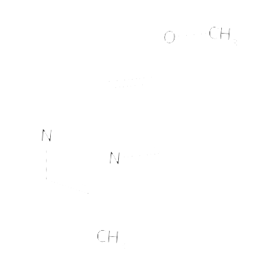 COc1ccn2c(C)cnc2c1